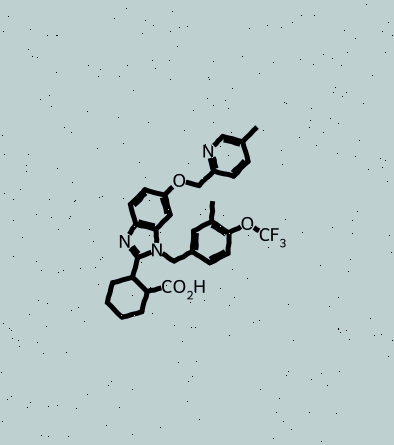 Cc1ccc(COc2ccc3nc(C4CCCCC4C(=O)O)n(Cc4ccc(OC(F)(F)F)c(C)c4)c3c2)nc1